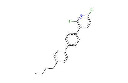 CCCCc1ccc(-c2ccc(-c3ccc(F)nc3F)cc2)cc1